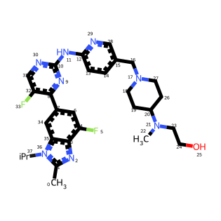 Cc1nc2c(F)cc(-c3nc(Nc4ccc(CN5CCC(N(C)CCO)CC5)cn4)ncc3F)cc2n1C(C)C